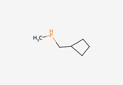 CPCC1CCC1